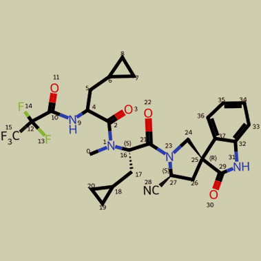 CN(C(=O)C(CC1CC1)NC(=O)C(F)(F)C(F)(F)F)[C@@H](CC1CC1)C(=O)N1C[C@]2(C[C@H]1C#N)C(=O)Nc1ccccc12